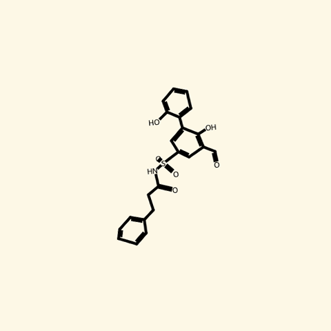 O=Cc1cc(S(=O)(=O)NC(=O)CCc2ccccc2)cc(-c2ccccc2O)c1O